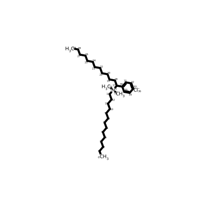 CCCCCCCCCCCCCC[N+](C)(C)C(CCCCCCCCCCCC)c1ccccc1.[Cl-]